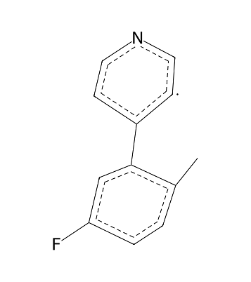 Cc1ccc(F)cc1-c1[c]cncc1